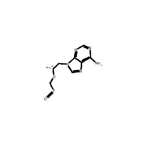 C[C@H](Cn1cnc2c(N)ncnc21)OCP=O